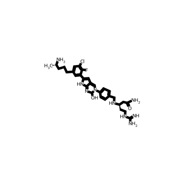 C[C@H](N)CCCc1cc(Cl)c(F)c(-c2cc3c([nH]2)=NC(O)N(c2ccc(CN[C@H](CCNC(=N)N)CC(N)=O)cc2)C=3)c1